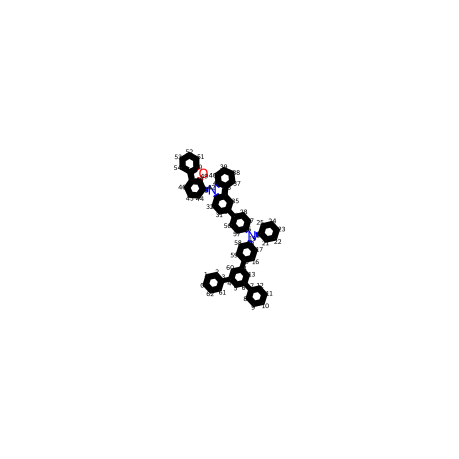 c1ccc(-c2cc(-c3ccccc3)cc(-c3ccc(N(c4ccccc4)c4ccc(-c5ccc6c(c5)c5ccccc5n6-c5cccc6c5oc5ccccc56)cc4)cc3)c2)cc1